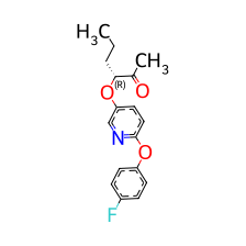 CCC[C@@H](Oc1ccc(Oc2ccc(F)cc2)nc1)C(C)=O